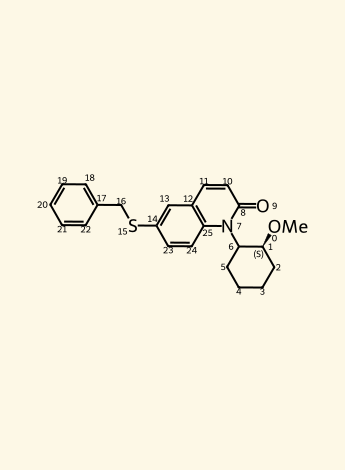 CO[C@H]1CCCCC1n1c(=O)ccc2cc(SCc3ccccc3)ccc21